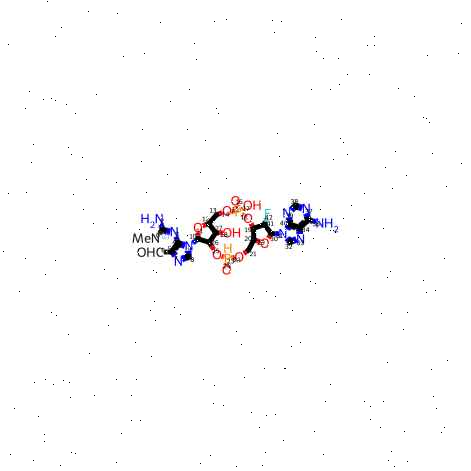 CN/C(N)=N\c1c(C=O)ncn1C1OC2COP(=O)(O)OC3C(CO[PH](=O)OC1C2O)OC(n1cnc2c(N)ncnc21)C3F